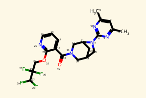 Cc1cc(C)nc(N2CC3CC2CN(C(=O)c2cccnc2OCC(F)(F)C(F)F)C3)n1